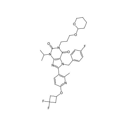 Cc1nc(OC2CC(F)(F)C2)ccc1-c1nc2c(c(=O)n(CCCOC3CCCCO3)c(=O)n2C(C)C)n1Cc1ccc(F)cc1